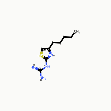 CCCCCc1csc(NC(=N)N)n1